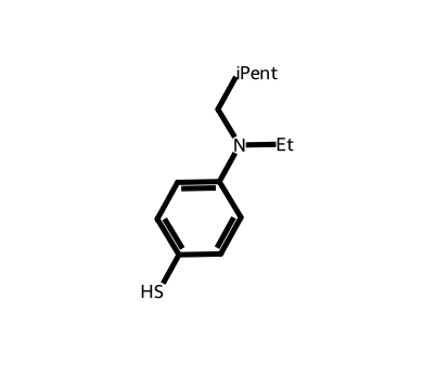 CCCC(C)CN(CC)c1ccc(S)cc1